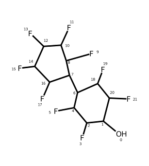 OC1C(F)C(F)C(C2C(F)C(F)C(F)C(F)C2F)C(F)C1F